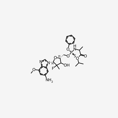 COc1cc(N)cc2c1ncn2[C@@H]1O[C@H](COP(=S)(NC(C)C(=O)OC(C)C)Oc2ccccc2)C(O)C1(C)F